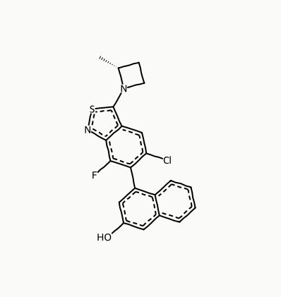 C[C@@H]1CCN1c1snc2c(F)c(-c3cc(O)cc4ccccc34)c(Cl)cc12